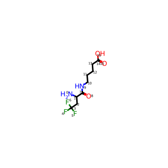 NC(CC(F)(F)F)C(=O)NCCCCC(=O)O